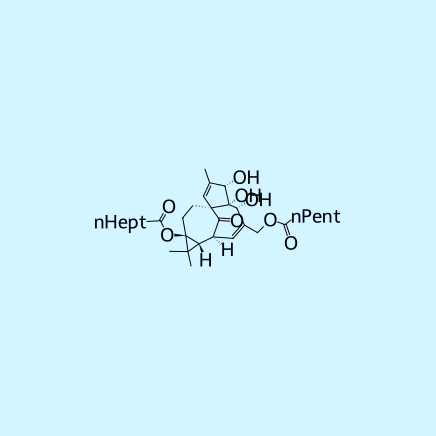 CCCCCCCC(=O)O[C@@]12CC[C@]34C=C(C)[C@H](O)[C@@]3(O)[C@H](O)C(COC(=O)CCCCC)=C[C@H](C4=O)[C@@H]1C2(C)C